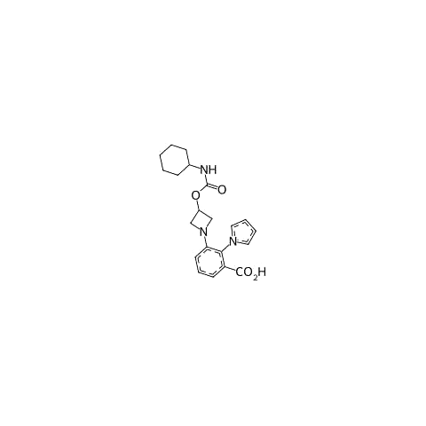 O=C(NC1CCCCC1)OC1CN(c2cccc(C(=O)O)c2-n2cccc2)C1